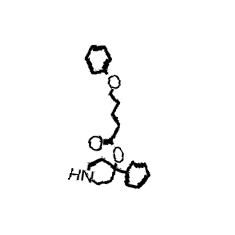 O=C(CCCCOc1ccccc1)OC1(c2ccccc2)CCNCC1